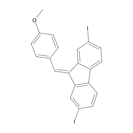 COc1ccc(C=C2c3cc(I)ccc3-c3ccc(I)cc32)cc1